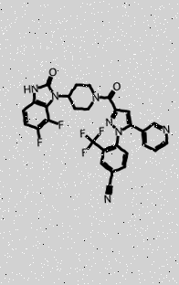 N#Cc1ccc(-n2nc(C(=O)N3CCC(n4c(=O)[nH]c5ccc(F)c(F)c54)CC3)cc2-c2cccnc2)c(C(F)(F)F)c1